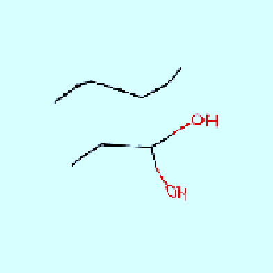 CCC(O)O.CCCC